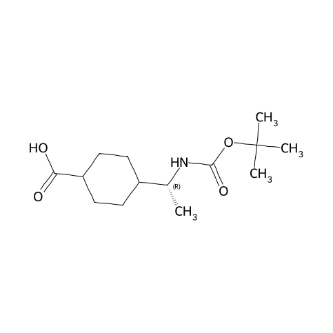 C[C@@H](NC(=O)OC(C)(C)C)C1CCC(C(=O)O)CC1